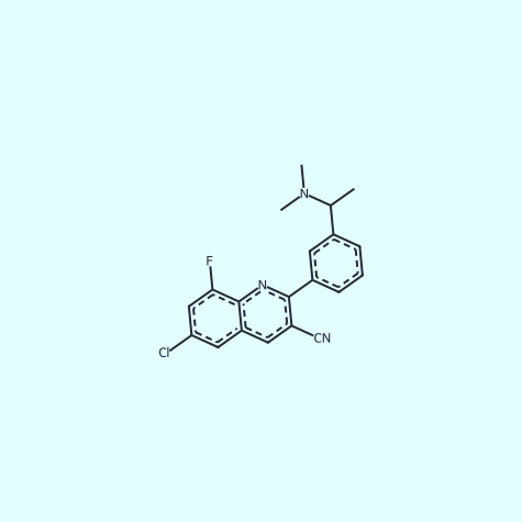 CC(c1cccc(-c2nc3c(F)cc(Cl)cc3cc2C#N)c1)N(C)C